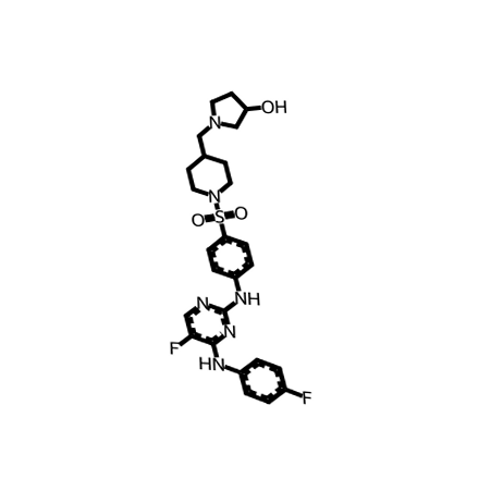 O=S(=O)(c1ccc(Nc2ncc(F)c(Nc3ccc(F)cc3)n2)cc1)N1CCC(CN2CCC(O)C2)CC1